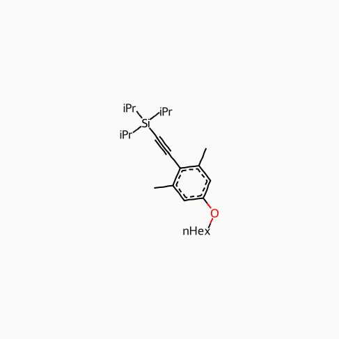 CCCCCCOc1cc(C)c(C#C[Si](C(C)C)(C(C)C)C(C)C)c(C)c1